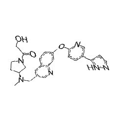 CN(Cc1cnc2cc(Oc3ccc(-c4ccn[nH]4)cn3)ccc2c1)[C@H]1CCN(C(=O)CO)C1